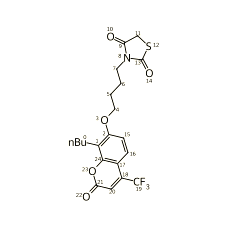 CCCCc1c(OCCCCN2C(=O)CSC2=O)ccc2c(C(F)(F)F)cc(=O)oc12